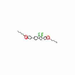 CCCCCCCOc1ccc(-c2ccc(-c3ccc(-c4ccc(OCCCCCCC)cc4)c(F)c3F)cc2)cc1